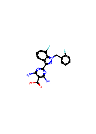 Nc1nc(-c2nn(Cc3ccccc3F)c3c(F)cccc23)nc(N)c1C(=O)O